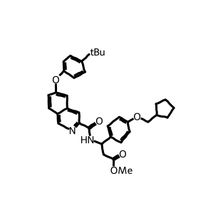 COC(=O)CC(NC(=O)c1cc2cc(Oc3ccc(C(C)(C)C)cc3)ccc2cn1)c1ccc(OCC2CCCC2)cc1